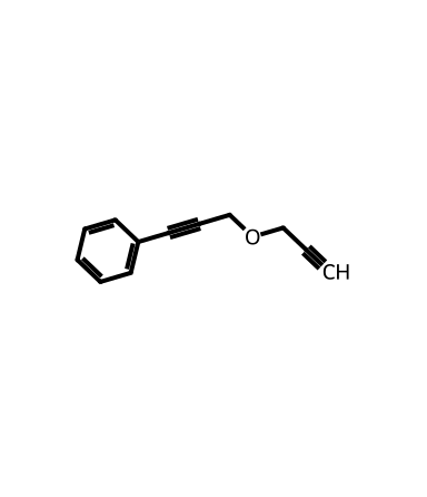 C#CCOCC#Cc1ccccc1